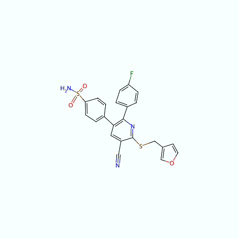 N#Cc1cc(-c2ccc(S(N)(=O)=O)cc2)c(-c2ccc(F)cc2)nc1SCc1ccoc1